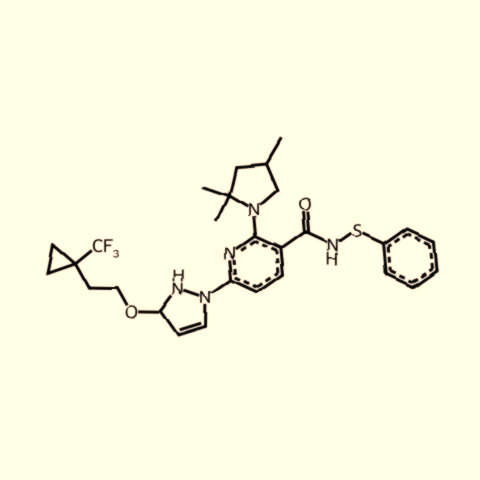 CC1CN(c2nc(N3C=CC(OCCC4(C(F)(F)F)CC4)N3)ccc2C(=O)NSc2ccccc2)C(C)(C)C1